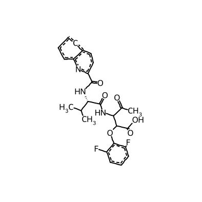 CC(=O)C(NC(=O)[C@@H](NC(=O)c1ccc2ccccc2n1)C(C)C)C(Oc1c(F)cccc1F)C(=O)O